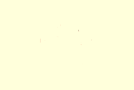 CC(=O)CC1C2C=CC(O2)C1C